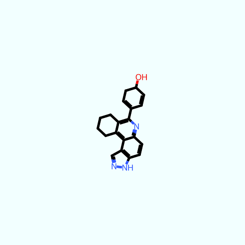 OC1C=CC(c2nc3ccc4[nH]ncc4c3c3c2CCCC3)=CC1